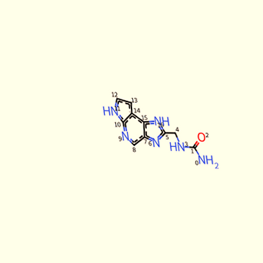 NC(=O)NCc1nc2cnc3[nH]ccc3c2[nH]1